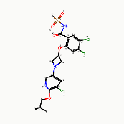 CC(C)COc1ncc(N2CC(Oc3cc(F)c(Cl)cc3C(=O)NS(C)(=O)=O)C2)cc1Cl